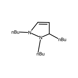 CCCCC1C=CN(CCCC)N1CCCC